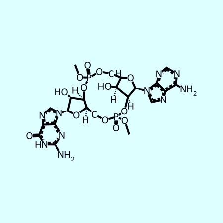 COP1(=O)OC[C@H]2O[C@@H](n3cnc4c(N)ncnc43)[C@@H](OP(=O)(OC)OC[C@H]3O[C@@H](n4cnc5c(=O)[nH]c(N)nc54)[C@@H](O)[C@H]3O1)[C@H]2O